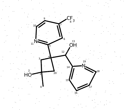 CC1(O)CC(c2cc(C(F)(F)F)ccn2)(C(O)c2ccccn2)C1